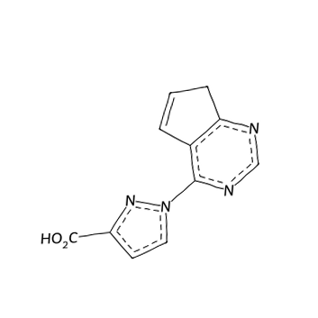 O=C(O)c1ccn(-c2ncnc3c2C=CC3)n1